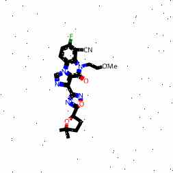 COCCn1c(=O)c2c(-c3noc(C4CCC(C)(C)O4)n3)ncn2c2ccc(F)c(C#N)c21